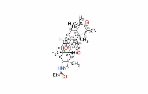 CCC(=O)NC[C@@]1(C)CC[C@]2(C)CC[C@@]3(C)[C@]4(C)CC[C@H]5C(C)(C)C(=O)C(C#N)=C[C@]5(C)C4=CC(=O)[C@]3(O)[C@@H]2C1